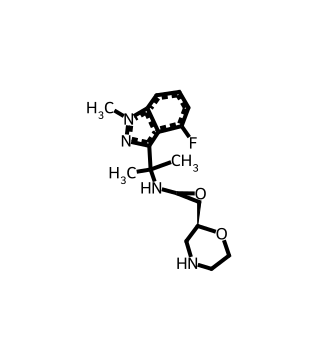 Cn1nc(C(C)(C)NC2OC2[C@@H]2CNCCO2)c2c(F)cccc21